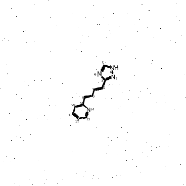 C(C=Cc1nc[nH]n1)=Cc1ccccn1